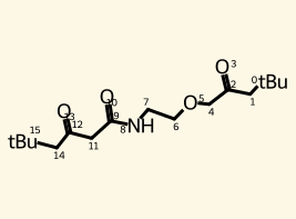 CC(C)(C)CC(=O)COCCNC(=O)CC(=O)CC(C)(C)C